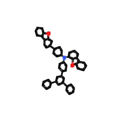 c1ccc(-c2cc(-c3ccccc3)cc(-c3ccc(N(c4ccc(-c5ccc6c(c5)oc5ccccc56)cc4)c4cccc5c4oc4ccccc45)cc3)c2)cc1